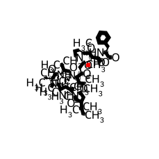 CC[C@H](C)[C@@H]([C@@H](CC(=O)N1CCC[C@H]1[C@H](OC)[C@@H](C)C(=O)N[C@@H](Cc1ccccc1)C(=O)O)OC)N(C)C(=O)[C@@H](NC(=O)[C@H](C(C)C)N(C)C(=O)C(C)(N)CC(C)(C)N1C(=O)CC(C(C)(C)CC)C1=O)C(C)C